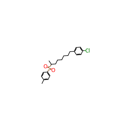 Cc1ccc(S(=O)(=O)C(C)CCCCCCc2ccc(Cl)cc2)cc1